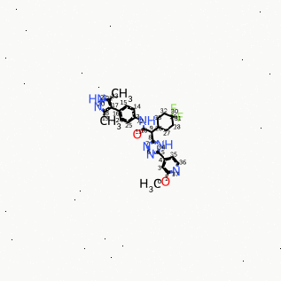 COc1cc(-c2nnc(C(C(=O)Nc3ccc(-c4c(C)n[nH]c4C)cc3)C3CCC(F)(F)CC3)[nH]2)ccn1